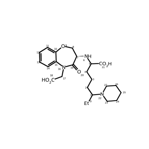 CCC(CCCC(N[C@H]1COc2ccccc2N(CC(=O)O)C1=O)C(=O)O)N1CCCCC1